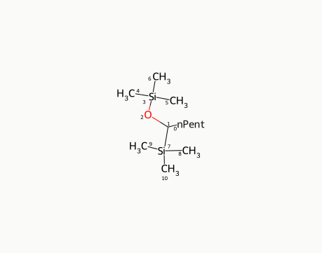 CCCCCC(O[Si](C)(C)C)[Si](C)(C)C